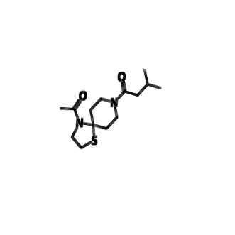 CC(=O)N1CCSC12CCN(C(=O)CC(C)C)CC2